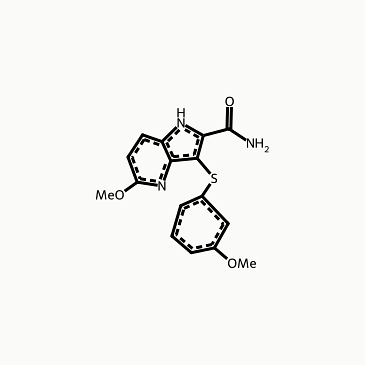 COc1cccc(Sc2c(C(N)=O)[nH]c3ccc(OC)nc23)c1